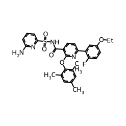 CCOc1ccc(F)c(-c2ccc(C(=O)NS(=O)(=O)c3cccc(N)n3)c(Oc3c(C)cc(C)cc3C)n2)c1